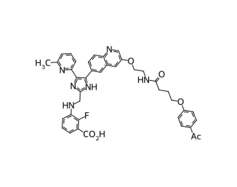 CC(=O)c1ccc(OCCCC(=O)NCCOc2cnc3ccc(-c4[nH]c(CNc5cccc(C(=O)O)c5F)nc4-c4cccc(C)n4)cc3c2)cc1